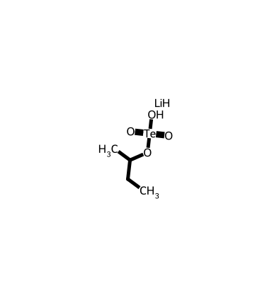 CCC(C)O[Te](=O)(=O)O.[LiH]